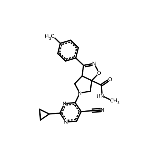 CNC(=O)C12CN(c3nc(C4CC4)ncc3C#N)CC1C(c1ccc(C)cc1)=NO2